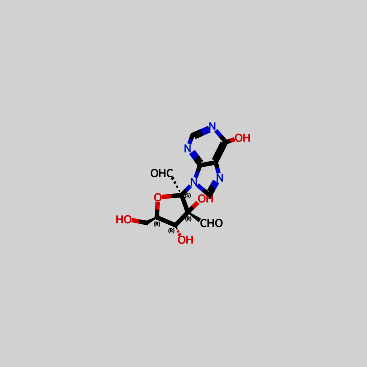 O=C[C@@]1(O)[C@H](O)[C@@H](CO)O[C@@]1(C=O)n1cnc2c(O)ncnc21